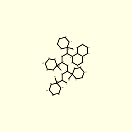 CC(CC(CC(CC(C1CCCC2CCCCC21)C1(C)CCCCC1)C1(C)CCCCC1)C1(C)CCCCC1)C1(C)CCCCC1